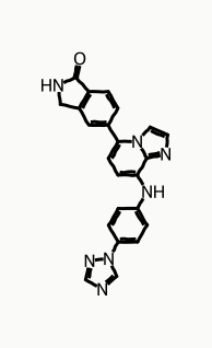 O=C1NCc2cc(-c3ccc(Nc4ccc(-n5cncn5)cc4)c4nccn34)ccc21